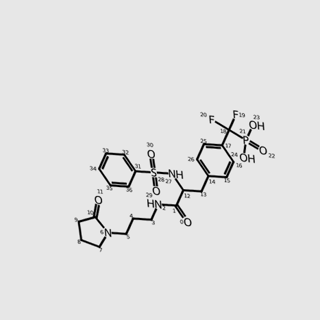 O=C(NCCCN1CCCC1=O)C(Cc1ccc(C(F)(F)P(=O)(O)O)cc1)NS(=O)(=O)c1ccccc1